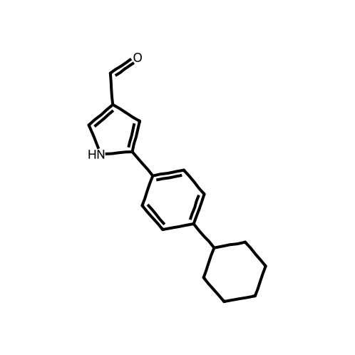 O=Cc1c[nH]c(-c2ccc(C3CCCCC3)cc2)c1